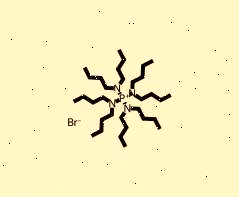 CCCCN(CCCC)[P+](N(CCCC)CCCC)(N(CCCC)CCCC)N(CCCC)CCCC.[Br-]